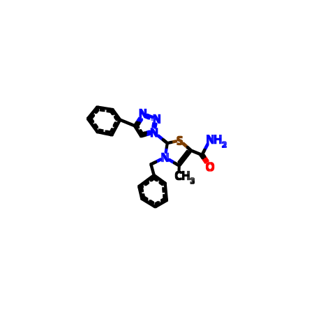 CC1=C(C(N)=O)SC(n2cc(-c3ccccc3)nn2)N1Cc1ccccc1